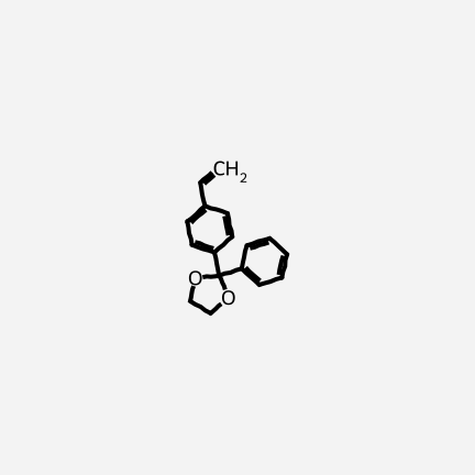 C=Cc1ccc(C2(c3ccccc3)OCCO2)cc1